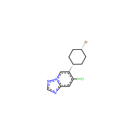 Clc1cc2ncnn2cc1[C@H]1CC[C@@H](Br)CC1